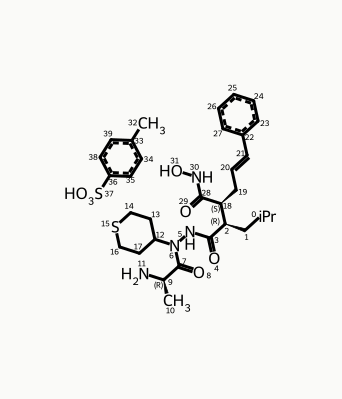 CC(C)C[C@@H](C(=O)NN(C(=O)[C@@H](C)N)C1CCSCC1)[C@H](CC=Cc1ccccc1)C(=O)NO.Cc1ccc(S(=O)(=O)O)cc1